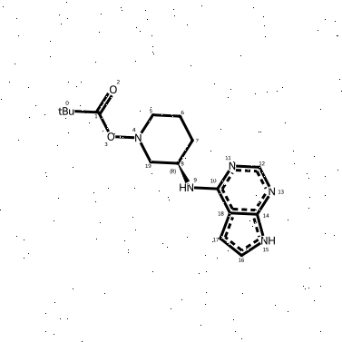 CC(C)(C)C(=O)ON1CCC[C@@H](Nc2ncnc3[nH]ccc23)C1